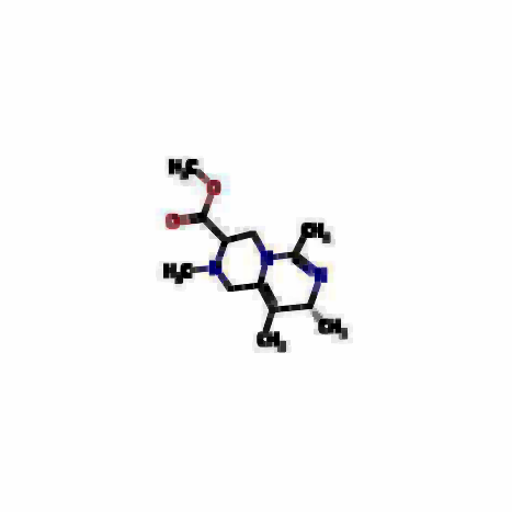 COC(=O)C1CN2C(C)=N[C@H](C)C(C)=C2CN1C